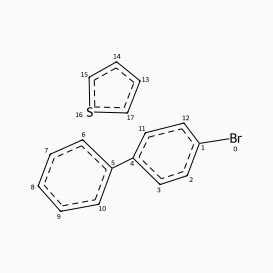 Brc1ccc(-c2ccccc2)cc1.c1ccsc1